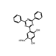 CCCCCCc1cc(-c2nc(-c3ccccc3)nc(-c3ccccc3)n2)c(O)cc1O